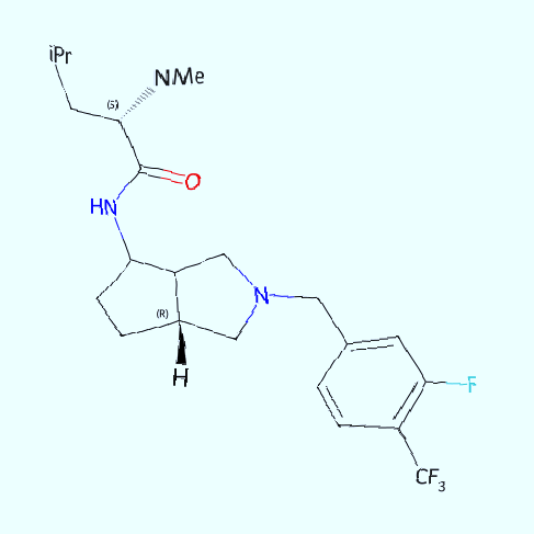 CN[C@@H](CC(C)C)C(=O)NC1CC[C@H]2CN(Cc3ccc(C(F)(F)F)c(F)c3)CC12